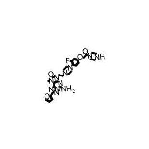 Cn1c(=O)n(CCN2CCN(c3ccc(OCC(=O)N4CCNCC4)cc3F)CC2)c2nc(N)n3nc(-c4ccco4)nc3c21